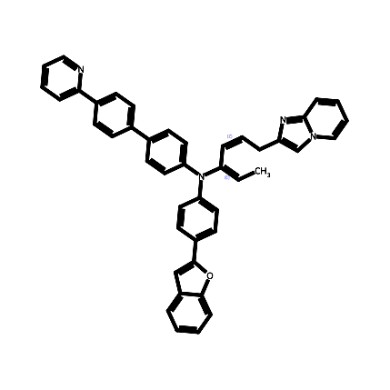 C/C=C(\C=C/Cc1cn2ccccc2n1)N(c1ccc(-c2ccc(-c3ccccn3)cc2)cc1)c1ccc(-c2cc3ccccc3o2)cc1